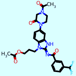 CC(=O)OCCCn1/c(=N/C(=O)c2cccc(C(F)F)c2)[nH]c2cc(N3CCN(C(C)=O)CC3=O)ccc21